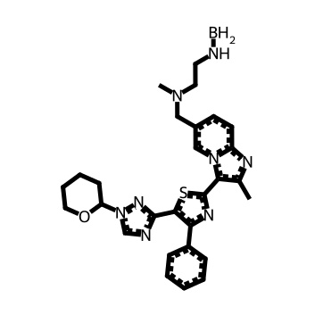 BNCCN(C)Cc1ccc2nc(C)c(-c3nc(-c4ccccc4)c(-c4ncn(C5CCCCO5)n4)s3)n2c1